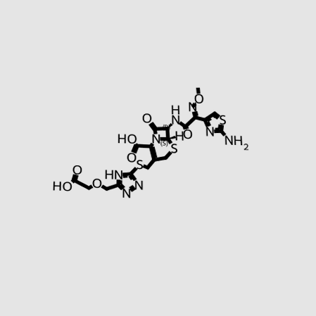 CON=C(C(=O)N[C@@H]1C(=O)N2C(C(=O)O)=C(CSc3nnc(COCC(=O)O)[nH]3)CS[C@@H]12)c1csc(N)n1